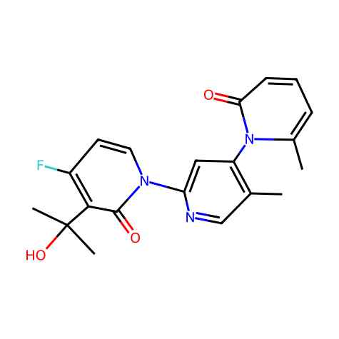 Cc1cnc(-n2ccc(F)c(C(C)(C)O)c2=O)cc1-n1c(C)cccc1=O